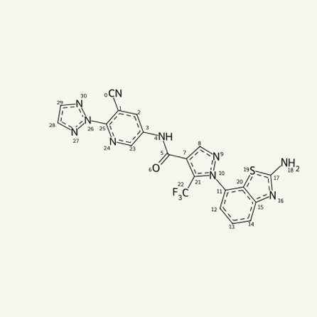 N#Cc1cc(NC(=O)c2cnn(-c3cccc4nc(N)sc34)c2C(F)(F)F)cnc1-n1nccn1